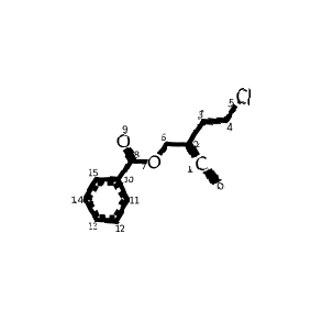 C=C=C(CCCl)COC(=O)c1ccccc1